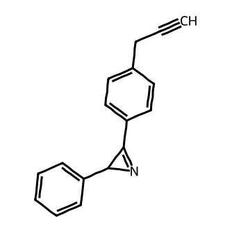 C#CCc1ccc(C2=NC2c2ccccc2)cc1